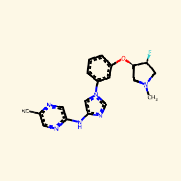 CN1C[C@H](F)[C@H](Oc2cccc(-n3cnc(Nc4cnc(C#N)cn4)c3)c2)C1